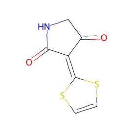 O=C1CNC(=O)C1=C1SC=CS1